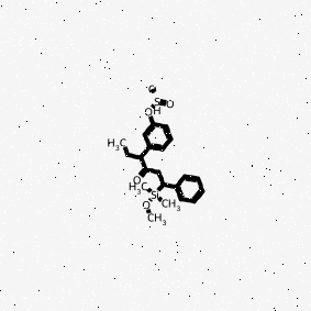 CCC(C(=O)CC(c1ccccc1)[Si](C)(C)OC)c1cccc(O[SH](=O)=O)c1